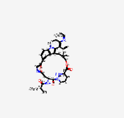 C=C/C(=C(\N=C/C)[C@H](C)OC)c1c2c3cc(ccc3n1CC)-c1cnc(o1)C[C@H](NC(=O)[C@@H](NC)C(C)C)C(=O)N1CCC[C@H](N1)C(=O)OCC(C)(C)C2